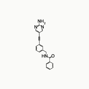 Nc1ncc(C#Cc2cccc(CNC(=O)c3ccccc3)c2)cn1